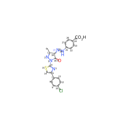 CC1=NN(c2nc(-c3ccc(Cl)cc3)cs2)C(=O)/C1=N\Nc1ccc(C(=O)O)cc1